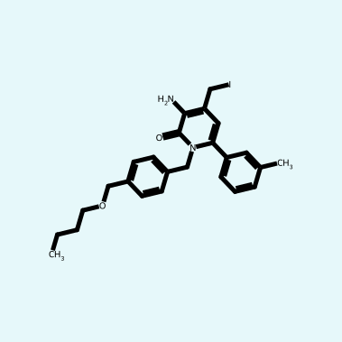 CCCCOCc1ccc(Cn2c(-c3cccc(C)c3)cc(CI)c(N)c2=O)cc1